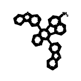 Bc1ccc2c3c(cccc13)-c1c-2c(-c2ccc3sc4ccccc4c3c2)c2ccccc2c1-c1ccc2sc3ccccc3c2c1